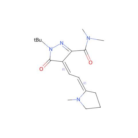 CN(C)C(=O)C1=NN(C(C)(C)C)C(=O)/C1=C/C=C1/CCCN1C